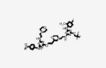 Cc1cc(I)ccc1Nc1nc(NCCN2CCOC(CCOc3nc(NCCN4CCOCC4)nc(Nc4ccc([N+](=O)[O-])cc4)n3)C2)nc(OCC(F)(F)F)n1